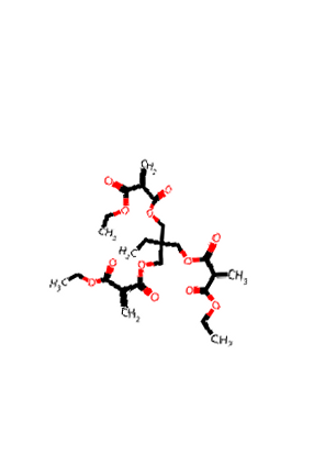 C=C(C(=O)OCC)C(=O)OCC(CC)(COC(=O)C(=C)C(=O)OCC)COC(=O)C(C)C(=O)OCC